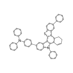 C1=Cc2c(c3c4cc(-c5ccccc5)ccc4sc3c3c4cc(-c5ccc(N(c6ccccc6)c6ccccc6)cc5)ccc4n(-c4ccccc4)c23)CC1